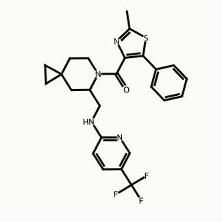 Cc1nc(C(=O)N2CCC3(CC3)CC2CNc2ccc(C(F)(F)F)cn2)c(-c2ccccc2)s1